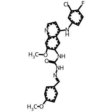 COc1ccc(/C=N/NC(=O)Nc2cc3c(Nc4ccc(F)c(Cl)c4)ccnc3cc2OC)cc1